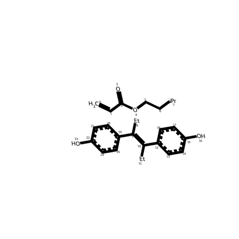 C=CC(=O)OCCC(C)C.CC/C(=C(/CC)c1ccc(O)cc1)c1ccc(O)cc1